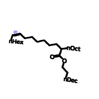 CCCCCC/C=C\CCCCCCC(CCCCCCCC)C(=O)OCCCCCCCCCCCC